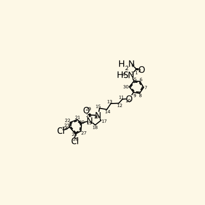 NC(=O)N(S)c1cccc(OCCCCCN2CCN(c3ccc(Cl)c(Cl)c3)C2=O)c1